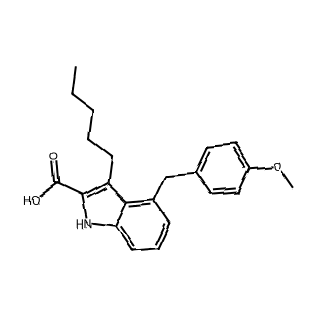 CCCCCc1c(C(=O)O)[nH]c2cccc(Cc3ccc(OC)cc3)c12